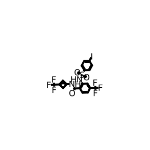 O=C(NC12CC(C(F)(F)F)(C1)C2)c1ccc(C(F)(F)F)cc1NS(=O)(=O)c1ccc(I)cc1